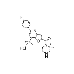 CC1(c2cc(-c3ccc(F)cc3)nc3cc(C(=O)N4CCNCC4(C)C)oc23)CC1.Cl